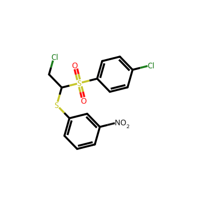 O=[N+]([O-])c1cccc(SC(CCl)S(=O)(=O)c2ccc(Cl)cc2)c1